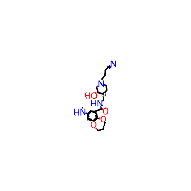 CNc1cc2c(c(C(=O)NC[C@@H]3CCN(CCCC#N)CC3O)c1)OCCCO2